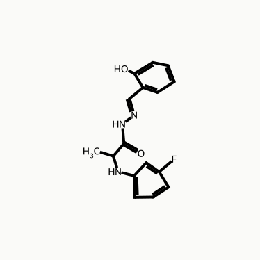 CC(Nc1cccc(F)c1)C(=O)NN=Cc1ccccc1O